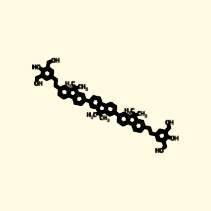 CC1(C)c2cc(CCc3cc(CO)c(O)c(CO)c3)ccc2-c2ccc(-c3ccc4c(c3)C(C)(C)c3cc(-c5ccc6c(c5)C(C)(C)c5cc(CCc7cc(CO)c(O)c(CO)c7)ccc5-6)ccc3-4)cc21